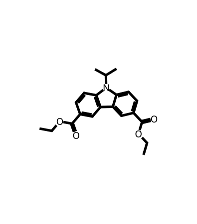 CCOC(=O)c1ccc2c(c1)c1cc(C(=O)OCC)ccc1n2C(C)C